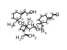 C=C(C)[C@@H]1CC[C@]1(C)CCO.CC1(C)CCC/C(=C/CO)C1.CC1(C)CCC/C(=C\C=O)C1